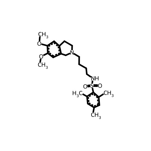 COc1cc2c(cc1OC)CN(CCCCNS(=O)(=O)c1c(C)cc(C)cc1C)CC2